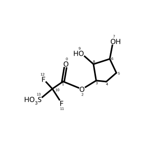 O=C(OC1CCC(O)C1O)C(F)(F)S(=O)(=O)O